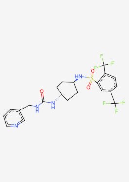 O=C(NCc1cccnc1)N[C@H]1CC[C@H](NS(=O)(=O)c2cc(C(F)(F)F)ccc2C(F)(F)F)CC1